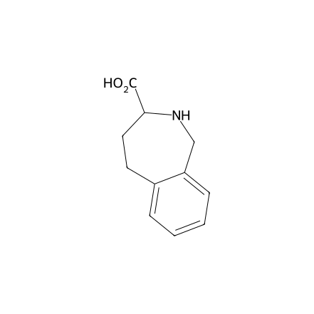 O=C(O)C1CCc2ccccc2CN1